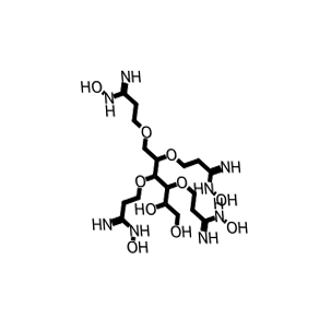 N=C(CCOCC(OCCC(=N)NO)C(OCCC(=N)NO)C(OCCC(=N)NO)C(O)CO)NO